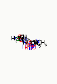 CCc1ncsc1-c1ccc(CNC(=O)[C@@H]2C[C@@H](O)CN2C(=O)C(NC(=O)COCCCCNc2ccc(C(=O)N[C@H]3C(C)(C)[C@H](Oc4ccc(C#N)c(Cl)c4)C3(C)C)cc2)C(C)(C)C)cc1